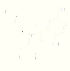 CCC(CO)N(C(C)(C)CCO)S(=O)(=O)c1cc(N)ccc1N